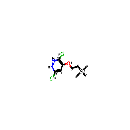 C[Si](C)(C)CCOc1cc(Cl)nnc1Cl